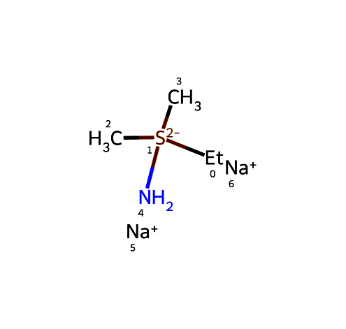 CC[S-2](C)(C)N.[Na+].[Na+]